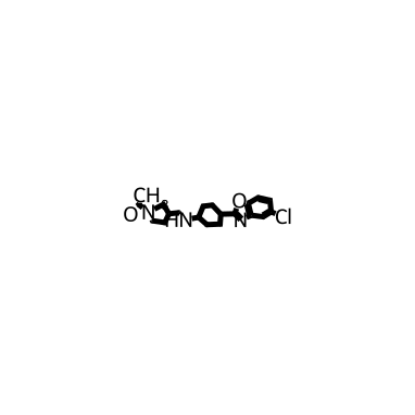 CC(=O)N1CCC(CNC2CCC(c3nc4cc(Cl)ccc4o3)CC2)C1